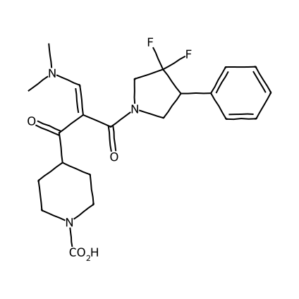 CN(C)C=C(C(=O)C1CCN(C(=O)O)CC1)C(=O)N1CC(c2ccccc2)C(F)(F)C1